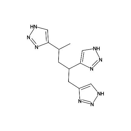 CC(CC(Cc1c[nH]nn1)c1c[nH]nn1)c1c[nH]nn1